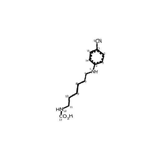 N#Cc1ccc(NCCCCCCNC(=O)O)cc1